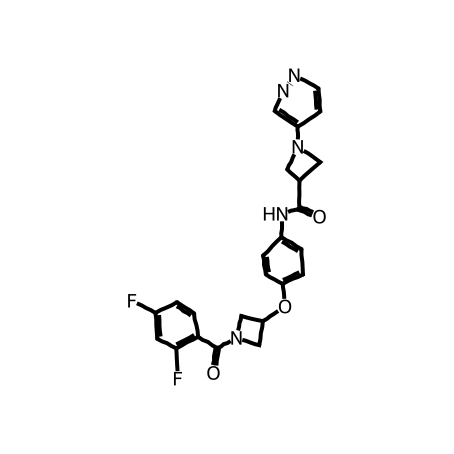 O=C(Nc1ccc(OC2CN(C(=O)c3ccc(F)cc3F)C2)cc1)C1CN(c2ccnnc2)C1